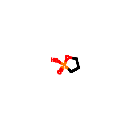 O=P1(O)CCCO1